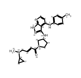 Cc1ccc(Nc2ccnc3[nH]nc(N[C@@H]4CCN(C(=O)/C=C/CN(C)C5CC5)C4)c23)cc1